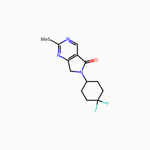 CSc1ncc2c(n1)CN(C1CCC(F)(F)CC1)C2=O